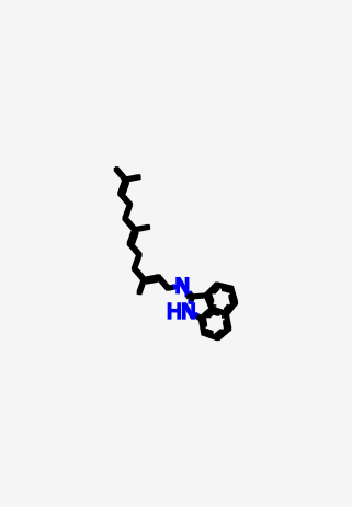 CC(C)=CCC/C(C)=C/CC/C(C)=C/C/N=C1\Nc2cccc3cccc1c23